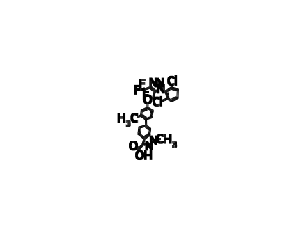 Cc1cc(OCc2c(C(F)(F)F)nnn2-c2c(Cl)cccc2Cl)ccc1-c1ccc2c(C(=O)O)nn(C)c2c1